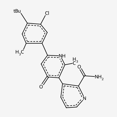 Cc1cc(C(C)(C)C)c(Cl)cc1-c1cc(=O)c(-c2cccnc2C(N)=O)c(C)[nH]1